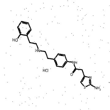 Cl.Nc1nc(CC(=O)Nc2ccc(CCNCCc3ccccc3O)cc2)cs1